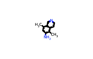 Cc1cc(N)c(C)c2ccncc12